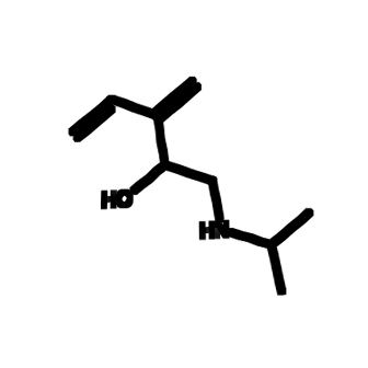 C=CC(=C)C(O)CNC(C)C